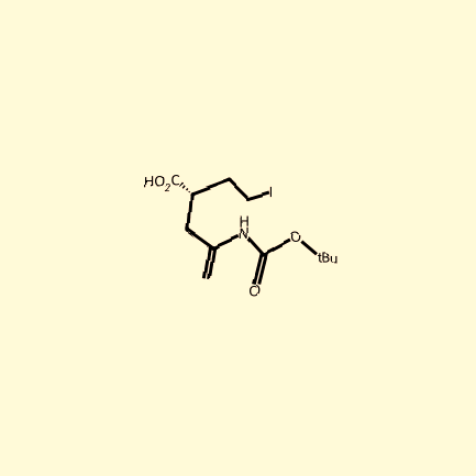 C=C(C[C@@H](CCI)C(=O)O)NC(=O)OC(C)(C)C